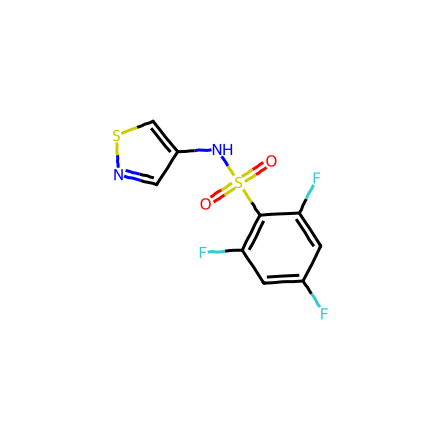 O=S(=O)(Nc1cnsc1)c1c(F)cc(F)cc1F